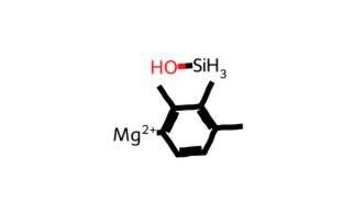 Cc1cc[c]([Mg+2])c(C)c1C.O[SiH3]